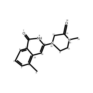 Cc1cccc2c(=O)[nH]c(N3CCN(C)C(=O)C3)cc12